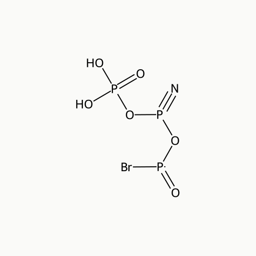 N#P(O[P](=O)Br)OP(=O)(O)O